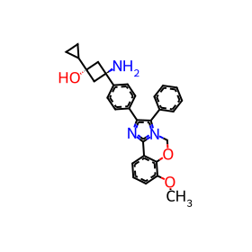 COc1cccc2c1OCn1c-2nc(-c2ccc([C@]3(N)C[C@@](O)(C4CC4)C3)cc2)c1-c1ccccc1